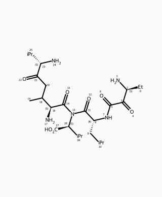 CC[C@H](N)C(=O)C(=O)N[C@H](CC(C)C)C(=O)N(C(=O)[C@@H](N)C(C)CC(=O)[C@@H](N)C(C)C)[C@H](C(=O)O)C(C)C